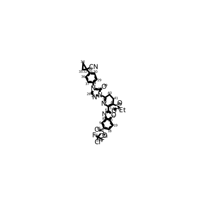 CCS(=O)(=O)C1=C(c2nc3cc(S(=O)(=O)C(F)(F)Cl)ccc3o2)N=C(n2ncn(-c3ccc(C4(C#N)CC4)cc3)c2=O)CC1